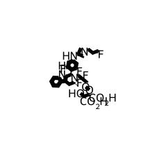 C[C@@H]1Cc2c([nH]c3ccccc23)[C@@H](c2c(F)cc(NC3CN(CCCF)C3)cc2F)N1CC(F)(F)COO[C@@H](C(=O)O)[C@@H](O)C(=O)O